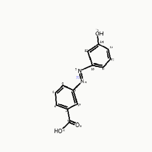 O=C(O)c1cccc(/N=N/c2cccc(O)c2)c1